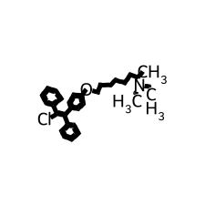 CCN(CC)C(C)CCCCCCOc1ccc(/C(=C(/Cl)c2ccccc2)c2ccccc2)cc1